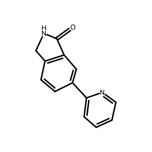 O=C1NCc2ccc(-c3ccccn3)cc21